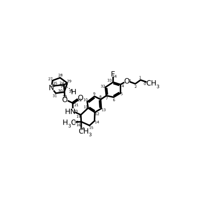 CCCOc1ccc(-c2ccc3c(c2)CCC(C)(C)C3NC(=O)O[C@H]2CN3CCC2CC3)cc1F